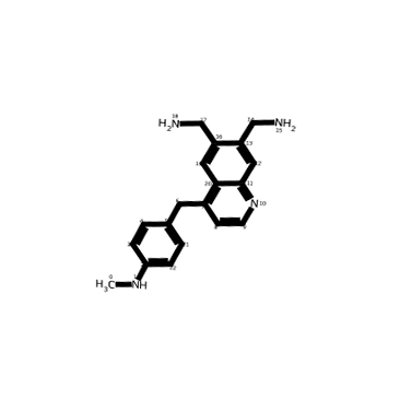 CNc1ccc(Cc2ccnc3cc(CN)c(CN)cc23)cc1